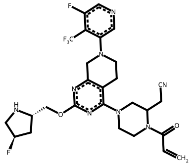 C=CC(=O)N1CCN(c2nc(OC[C@@H]3C[C@@H](F)CN3)nc3c2CCN(c2cncc(F)c2C(F)(F)F)C3)CC1CC#N